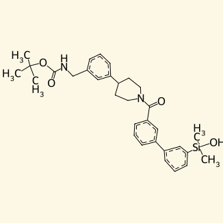 CC(C)(C)OC(=O)NCc1cccc(C2CCN(C(=O)c3cccc(-c4cccc([Si](C)(C)O)c4)c3)CC2)c1